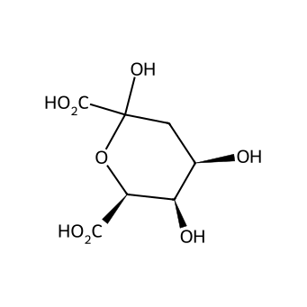 O=C(O)[C@H]1OC(O)(C(=O)O)C[C@@H](O)[C@H]1O